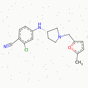 Cc1ccc(CN2CC[C@H](Nc3ccc(C#N)c(Cl)c3)C2)o1